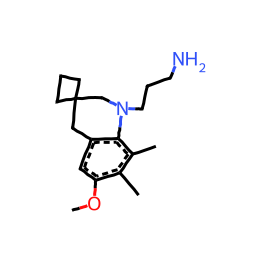 COc1cc2c(c(C)c1C)N(CCCN)CC1(CCC1)C2